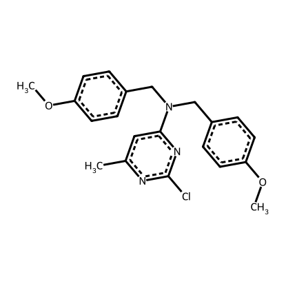 COc1ccc(CN(Cc2ccc(OC)cc2)c2cc(C)nc(Cl)n2)cc1